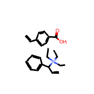 C=CC(c1ccccc1)[N+](CC)(CC)CC.C=Cc1ccc(C(=O)O)cc1